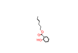 C/C=C/CCCOC(=O)c1ccccc1O